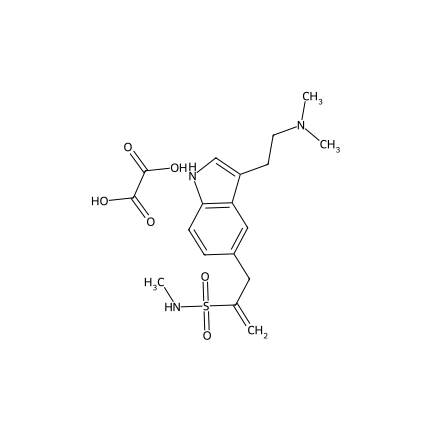 C=C(Cc1ccc2[nH]cc(CCN(C)C)c2c1)S(=O)(=O)NC.O=C(O)C(=O)O